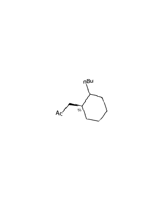 CCCCC1CCCC[C@H]1CC(C)=O